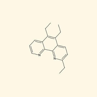 CCc1ccc2c(CC)c(CC)c3cccnc3c2n1